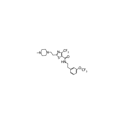 CN1CCN(CCc2nc(C(F)(F)F)c(C(=O)NCCc3cccc(OC(F)(F)F)c3)s2)CC1